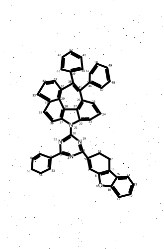 C1=CC(c2nc(C3=Cc4oc5ccccc5c4CC3)nc(-n3c4cccc5c4c4c6c(cccc6ccc43)C(c3ccccc3)=C5c3ccccc3)n2)=CCC1